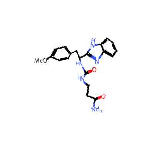 COc1ccc(CC(NC(=O)NCCC(N)=O)c2nc3ccccc3[nH]2)cc1